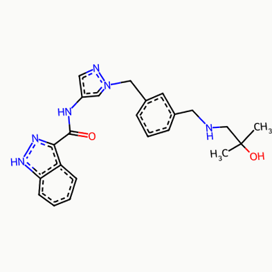 CC(C)(O)CNCc1cccc(Cn2cc(NC(=O)c3n[nH]c4ccccc34)cn2)c1